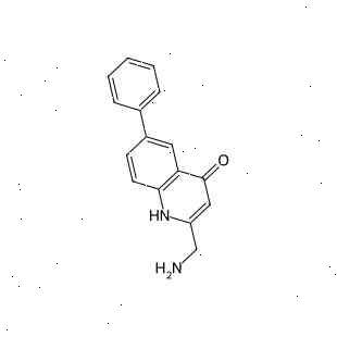 NCc1cc(=O)c2cc(-c3ccccc3)ccc2[nH]1